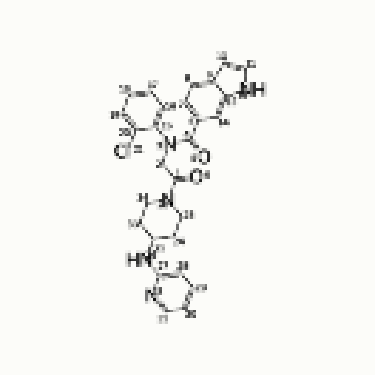 O=C(CN(C(=O)c1ccc2cc[nH]c2c1)c1ccccc1Cl)N1CCC(Nc2ccccn2)CC1